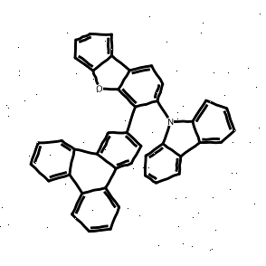 c1ccc2c(c1)oc1c(-c3ccc4c5ccccc5c5ccccc5c4c3)c(-n3c4ccccc4c4ccccc43)ccc12